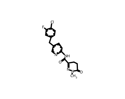 CN1N=C(C(=O)Nc2ccc(Cc3ccc(Cl)c(F)c3)cn2)CCC1=O